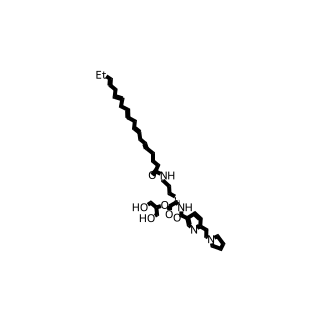 CCC=CCC=CCC=CCC=CCC=CCCCC(=O)NCCCC[C@H](NC(=O)c1ccc(CCN2CCCC2)nc1)C(=O)OC(CO)CO